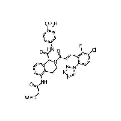 COCC(=O)Nc1cccc2c1CCN(C(=O)/C=C/c1c(-n3cnnn3)ccc(Cl)c1F)[C@@H]2C(=O)Nc1ccc(C(=O)O)cc1